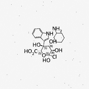 NC1CCCCC1.O=C(O)[C@H]1O[C@](O)(Cl)[C@H](O)[C@@H](O)[C@@]1(O)c1c[nH]c2ccccc12